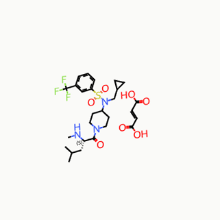 CN[C@@H](CC(C)C)C(=O)N1CCC(N(CC2CC2)S(=O)(=O)c2cccc(C(F)(F)F)c2)CC1.O=C(O)C=CC(=O)O